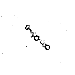 O=C(N/N=C/c1ccco1)c1ccc(OCc2nc3ccccc3[nH]2)cc1